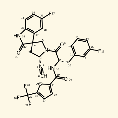 C#[N+][C@@H]1C[C@@]2(CN1C(=O)[C@H](Cc1cccc(F)c1)NC(=O)c1ccc(C(F)(F)F)s1)C(=O)Nc1ccc(F)cc12